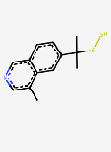 Cc1cncc2ccc(C(C)(C)SS)cc12